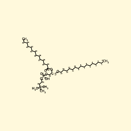 CCCCCCCCCCCCCCCCOC[C@H](COP(=O)(O)OCC[N+](C)(C)C)OC(=O)CCCCCCCCCCCCC